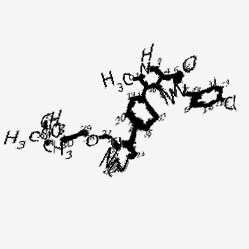 Cc1[nH]cc2c(=O)n(-c3ccc(Cl)cc3)nc-2c1-c1ccc(-c2cnnn2COCCO[Si](C)(C)C)cc1